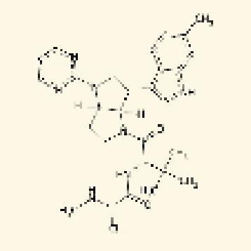 CN[C@@H](C)C(=O)N[C@H](C(=O)N1CC[C@@H]2[C@H]1[C@@H](c1c[nH]c3cc(C)ccc13)CN2c1ncccn1)C(C)(C)C